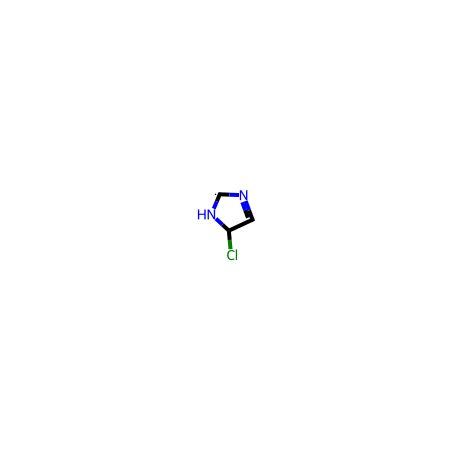 ClC1C=N[CH]N1